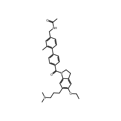 CCOc1cc2c(cc1CCCN(C)C)N(C(=O)c1ccc(-c3ccc(CNC(C)=O)cc3C)cc1)CC2